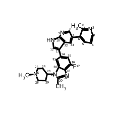 Cc1ncccc1-c1cnc2[nH]cc(-c3cc(F)c4nc(C)n(C5CCN(C)CC5)c4c3)c2c1